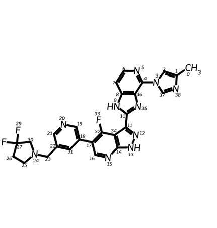 Cc1cn(-c2nccc3[nH]c(-c4n[nH]c5ncc(-c6cncc(CN7CCC(F)(F)C7)c6)c(F)c45)nc23)cn1